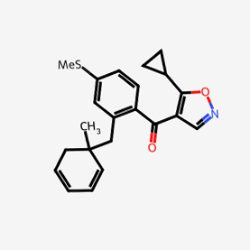 CSc1ccc(C(=O)c2cnoc2C2CC2)c(CC2(C)C=CC=CC2)c1